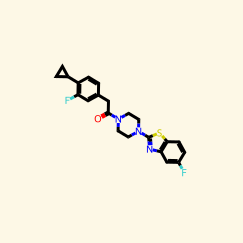 O=C(Cc1ccc(C2CC2)c(F)c1)N1CCN(c2nc3cc(F)ccc3s2)CC1